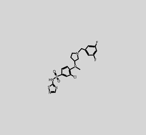 CN(c1ccc(S(=O)(=O)Nc2ncns2)cc1Cl)C1CCN(Cc2cc(F)cc(F)c2)C1